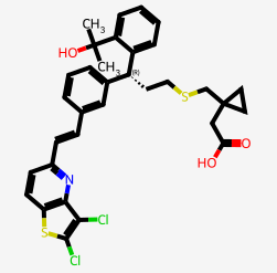 CC(C)(O)c1ccccc1[C@H](CCSCC1(CC(=O)O)CC1)c1cccc(C=Cc2ccc3sc(Cl)c(Cl)c3n2)c1